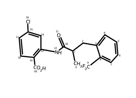 CC(Cc1ccccc1C(F)(F)F)C(=O)Nc1cc(Cl)ccc1C(=O)O